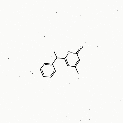 Cc1cc(C(C)c2ccccc2)oc(=O)c1